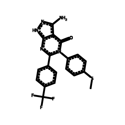 CSc1ccc(-n2c(-c3ccc(C(F)(F)F)cc3)nc3[nH]nc(N)c3c2=O)cc1